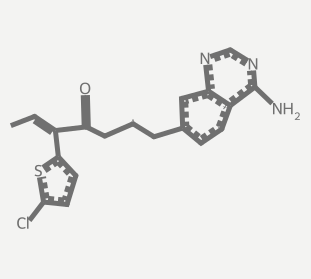 CC=C(C(=O)C[CH]Cc1ccc2c(N)ncnc2c1)c1ccc(Cl)s1